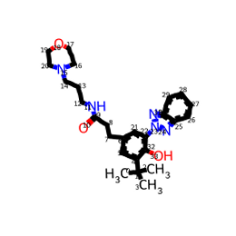 CC(C)(C)c1cc(CCC(=O)NCCCN2CCOCC2)cc(-n2nc3ccccc3n2)c1O